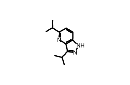 CC(C)c1ccc2[nH]nc(C(C)C)c2n1